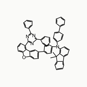 CC1(C)c2ccccc2-c2cccc(N(c3ccc(-c4ccccc4)cc3)c3ccc(-c4ccc5oc6cccc(-c7nc(-c8ccccc8)nc(-c8ccccc8)n7)c6c5c4)cc3)c21